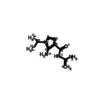 C=C(N)NC(=O)c1ncn(C(C)C)c1N